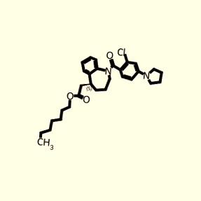 CCCCCCCOC(=O)C[C@@H]1CCCN(C(=O)c2ccc(N3CCCC3)cc2Cl)c2ccccc21